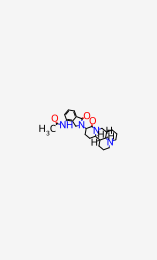 CC(=O)Nc1cccc2c1CN(C1CC[C@@H]3[C@H]4CCCN5CCC[C@@H](CN3C1=O)[C@@H]45)C2=O